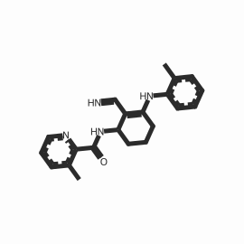 Cc1ccccc1NC1=C(C=N)C(NC(=O)c2ncccc2C)CCC1